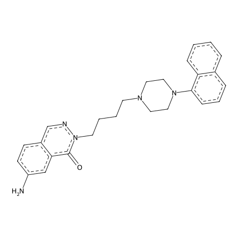 Nc1ccc2cnn(CCCCN3CCN(c4cccc5ccccc45)CC3)c(=O)c2c1